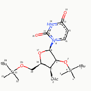 CC(=O)O[C@@H]1C(O[Si](C)(C)C(C)(C)C)[C@H](n2ccc(=O)[nH]c2=O)O[C@@H]1CO[Si](C)(C)C(C)(C)C